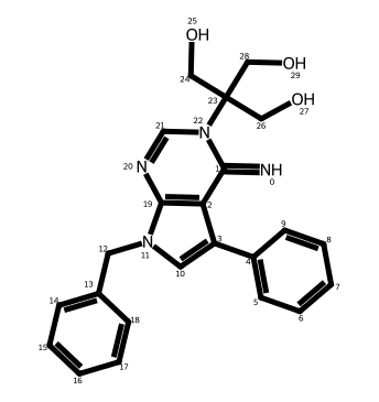 N=c1c2c(-c3ccccc3)cn(Cc3ccccc3)c2ncn1C(CO)(CO)CO